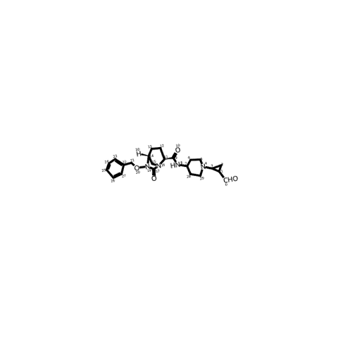 O=CC1CC1N1CCC(NC(=O)[C@@H]2CC[C@@H]3CN2C(=O)N3OCc2ccccc2)CC1